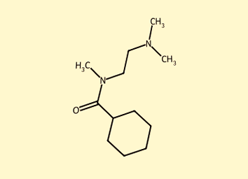 CN(C)CCN(C)C(=O)C1CCCCC1